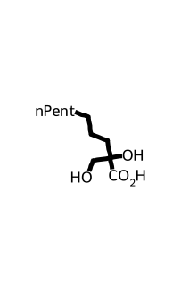 CCCCCCCCC(O)(CO)C(=O)O